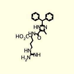 Cc1nc(C(c2ccccc2)c2ccccc2)[nH]c1C(=O)N[C@@H](CCCNC(=N)N)C(=O)O